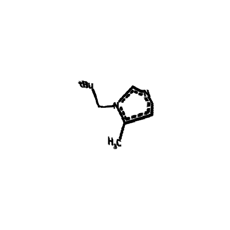 Cc1cncn1CC(C)(C)C